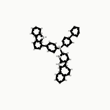 c1ccc(-c2ccc(N(c3ccc(-c4cccc5c4sc4ccccc45)cc3)c3ccc4c(n3)sc3c5ccccc5ccc43)cc2)cc1